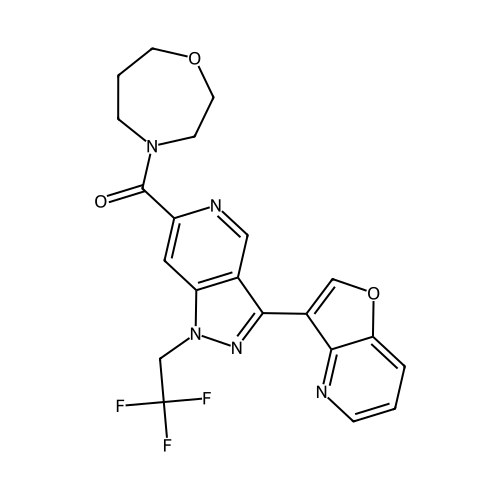 O=C(c1cc2c(cn1)c(-c1coc3cccnc13)nn2CC(F)(F)F)N1CCCOCC1